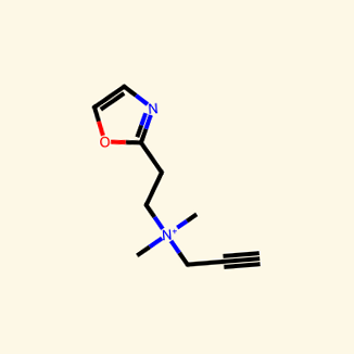 C#CC[N+](C)(C)CCc1ncco1